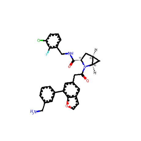 NCc1cccc(-c2cc(CC(=O)N3[C@@H]4C[C@@H]4C[C@H]3C(=O)NCc3cccc(Cl)c3F)cc3ccoc23)c1